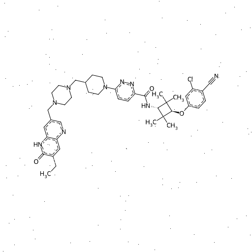 CCc1cc2ncc(CN3CCN(CC4CCN(c5ccc(C(=O)N[C@H]6C(C)(C)[C@H](Oc7ccc(C#N)c(Cl)c7)C6(C)C)nn5)CC4)CC3)cc2[nH]c1=O